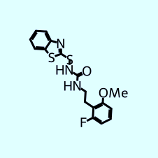 COc1cccc(F)c1CCNC(=O)NSc1nc2ccccc2s1